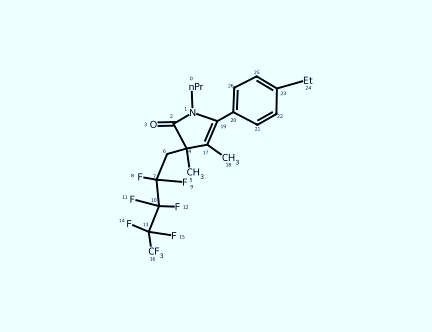 CCCN1C(=O)C(C)(CC(F)(F)C(F)(F)C(F)(F)C(F)(F)F)C(C)=C1c1ccc(CC)cc1